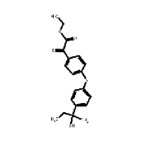 CCOC(=O)C(=O)c1ccc(Sc2ccc(C(C)(S)CC)cc2)cc1